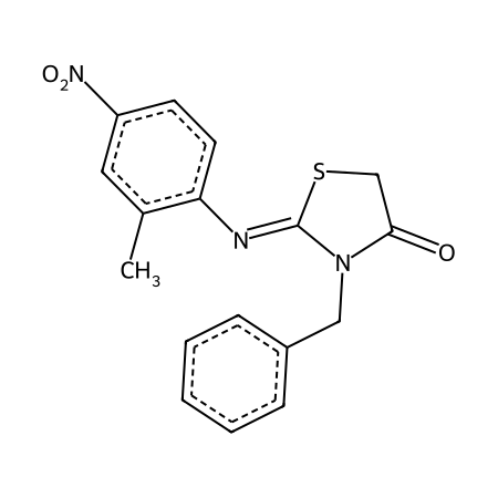 Cc1cc([N+](=O)[O-])ccc1/N=C1\SCC(=O)N1Cc1ccccc1